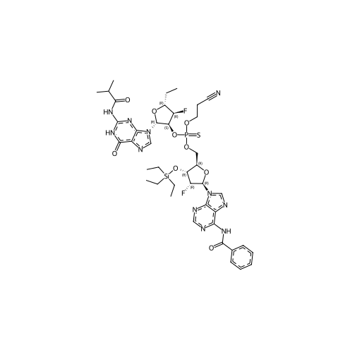 CC[C@H]1O[C@@H](n2cnc3c(=O)[nH]c(NC(=O)C(C)C)nc32)[C@H](OP(=S)(OCCC#N)OC[C@H]2O[C@@H](n3cnc4c(NC(=O)c5ccccc5)ncnc43)[C@H](F)[C@@H]2O[Si](CC)(CC)CC)[C@@H]1F